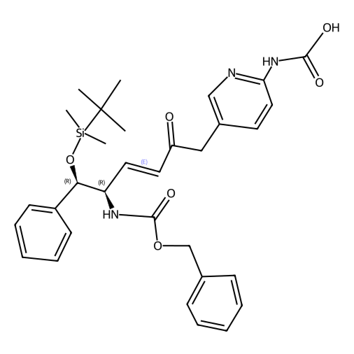 CC(C)(C)[Si](C)(C)O[C@H](c1ccccc1)[C@@H](/C=C/C(=O)Cc1ccc(NC(=O)O)nc1)NC(=O)OCc1ccccc1